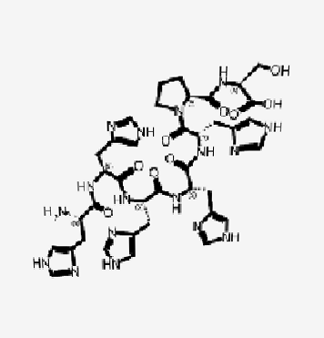 N[C@@H](Cc1c[nH]cn1)C(=O)N[C@@H](Cc1c[nH]cn1)C(=O)N[C@@H](Cc1c[nH]cn1)C(=O)N[C@@H](Cc1c[nH]cn1)C(=O)N[C@@H](Cc1c[nH]cn1)C(=O)N1CCC[C@H]1C(=O)N[C@@H](CO)C(=O)O